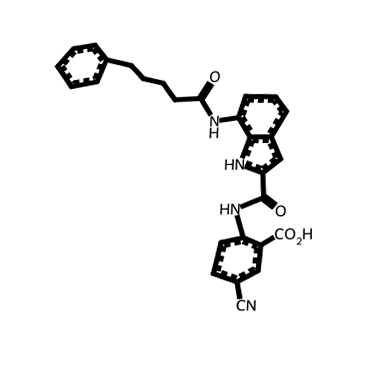 N#Cc1ccc(NC(=O)c2cc3cccc(NC(=O)CCCCc4ccccc4)c3[nH]2)c(C(=O)O)c1